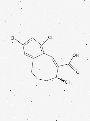 C[C@H]1CCCc2cc(Cl)cc(Cl)c2/C=C\1C(=O)O